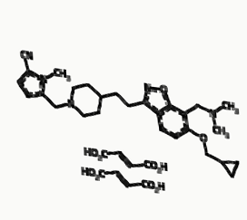 CN(C)Cc1c(OCC2CC2)ccc2c(CCC3CCN(Cc4ccc(C#N)n4C)CC3)noc12.O=C(O)C=CC(=O)O.O=C(O)C=CC(=O)O